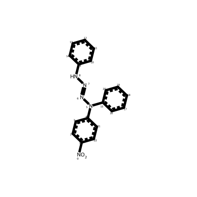 O=[N+]([O-])c1ccc(N(N=NNc2ccccc2)c2ccccc2)cc1